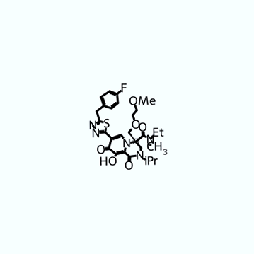 CCN(C)C(=O)[C@]1(COCCOC)CN(C(C)C)C(=O)c2c(O)c(=O)c(-c3nnc(Cc4ccc(F)cc4)s3)cn21